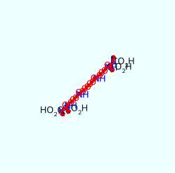 O=C(CCOCCOCCOCCOCCOCCC(=O)NCCCOCCOCCOCCCNC(=O)[C@H](CCCCN(Cc1ccccc1)C(=O)O)N(Cc1ccccc1)C(=O)O)NCCCOCCOCCOCCCNC(=O)[C@H](CCCCN(Cc1ccccc1)C(=O)O)N(Cc1ccccc1)C(=O)O